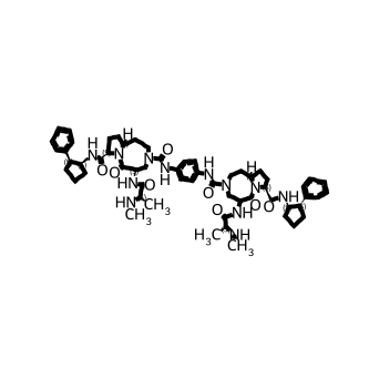 CN[C@@H](C)C(=O)NC1CN(C(=O)Nc2ccc(NC(=O)N3CC[C@H]4CC[C@@H](C(=O)N[C@H]5CCC[C@H]5c5ccccc5)N4C(=O)[C@@H](NC(=O)[C@H](C)NC)C3)cc2)CC[C@H]2CC[C@@H](C(=O)N[C@H]3CCC[C@H]3c3ccccc3)N2C1=O